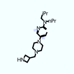 C=C(/N=C\C(=C/C)N1CCN(CC2CNC2)CC1)N(CCC)CC(C)C